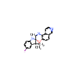 CN1c2ccc(I)cc2C(C)(C)C12C=Nc1c(ccc3cnccc13)O2